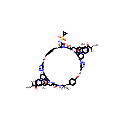 CN[C@@H](C)C(=O)N[C@H](C(=O)N1CC[C@@H]2[C@H]1C(=O)N[C@@H](Cc1ccc3ccccc3c1)C(=O)N[C@H](C(=O)O)Cc1ccc(cc1)OCc1cn(nn1)[C@@H]1CCN(C(=O)[C@@H](NC(=O)[C@H](C)NC)C(C)(C)C)[C@@H]1C(=O)N[C@@H](Cc1ccc3ccccc3c1)C(=O)N[C@H](C(=O)NS(=O)(=O)C1CC1)Cc1ccc(cc1)OCc1cn2nn1)C(C)(C)C